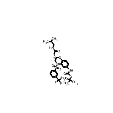 CC(C)CNC(=O)C[C@H]1CN(S(=O)(=O)c2cccc(C(F)(F)F)c2)c2cc(NC(=O)OC(C)(C)C)ccc2O1